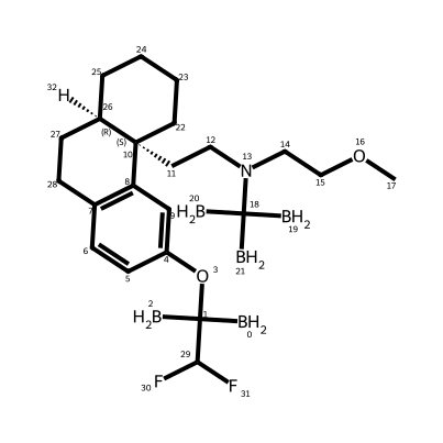 BC(B)(Oc1ccc2c(c1)[C@]1(CCN(CCOC)C(B)(B)B)CCCC[C@@H]1CC2)C(F)F